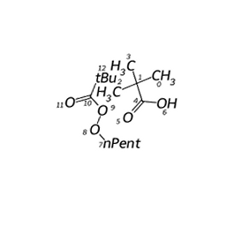 CC(C)(C)C(=O)O.CCCCCOOC(=O)C(C)(C)C